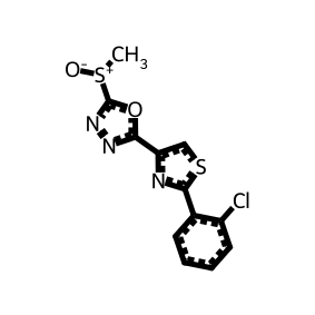 C[S+]([O-])c1nnc(-c2csc(-c3ccccc3Cl)n2)o1